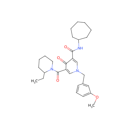 CCC1CCCCN1C(=O)c1cn(Cc2cccc(OC)c2)cc(C(=O)NC2CCCCCC2)c1=O